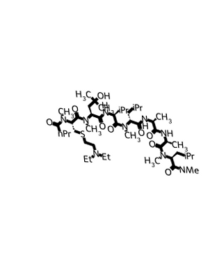 CCCC(=O)N(C)[C@@H](CSCCN(CC)CC)C(=O)N(C)[C@@H](CC(C)(C)O)C(=O)N[C@H](C(=O)N(C)[C@H](CC(C)C)C(=O)N[C@@H](C)C(=O)N[C@@H](C)C(=O)N(C)[C@@H](CC(C)C)C(=O)NC)C(C)C